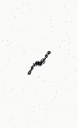 O=C(/C=C/c1ccc(OCc2ccccc2)cc1)O[C@H]1COC2C1OC[C@H]2OC(=O)/C=C/c1ccc(OCc2ccccc2)cc1